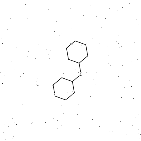 C1CCC([1C]C2CCCCC2)CC1